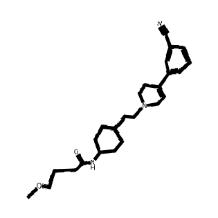 COCCCC(=O)NC1CCC(CCN2CC=C(c3cccc(C#N)c3)CC2)CC1